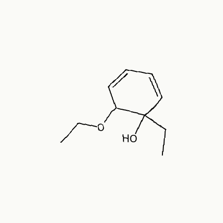 CCOC1C=CC=CC1(O)CC